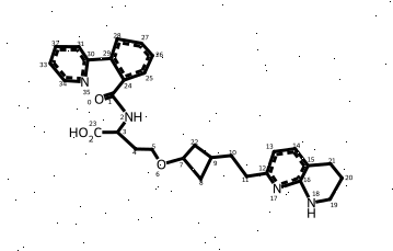 O=C(NC(CCOC1CC(CCc2ccc3c(n2)NCCC3)C1)C(=O)O)c1ccccc1-c1ccccn1